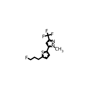 Cn1nc(C(F)(F)F)cc1-c1ccc(CCCF)s1